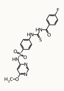 COc1cc(NS(=O)(=O)c2ccc(NC(=S)NC(=O)c3ccc(F)cc3)cc2)ncn1